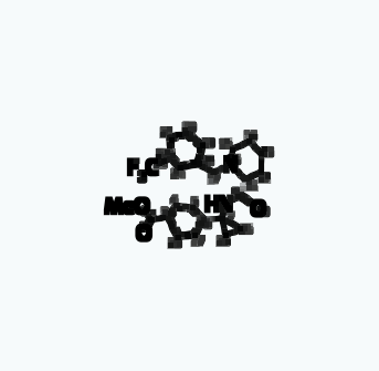 COC(=O)c1ccc(C2(NC(=O)[C@H]3CCCCN3Cc3cccc(C(F)(F)F)c3)CC2)cc1